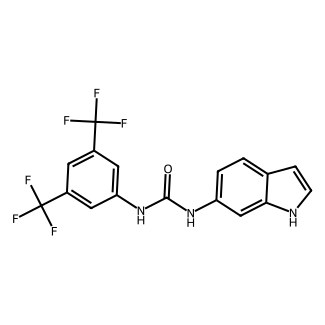 O=C(Nc1cc(C(F)(F)F)cc(C(F)(F)F)c1)Nc1ccc2cc[nH]c2c1